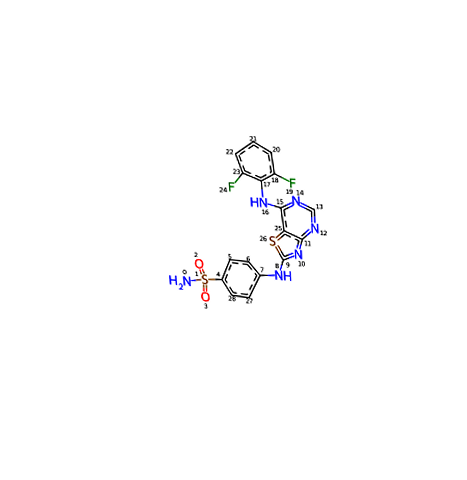 NS(=O)(=O)c1ccc(Nc2nc3ncnc(Nc4c(F)cccc4F)c3s2)cc1